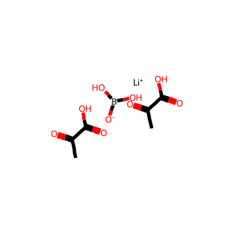 CC(=O)C(=O)O.CC(=O)C(=O)O.[Li+].[O-]B(O)O